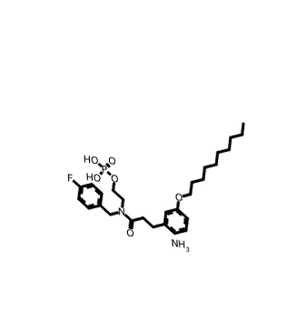 CCCCCCCCCCOc1cccc(CCC(=O)N(CCOP(=O)(O)O)Cc2ccc(F)cc2)c1.N